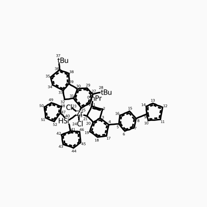 CCCC1=Cc2c(-c3ccc(-c4ccccc4)cc3)cccc2[CH]1[Zr]([Cl])([Cl])([c]1cc(C(C)(C)C)cc2c1Cc1ccc(C(C)(C)C)cc1-2)[SiH](c1ccccc1)c1ccccc1